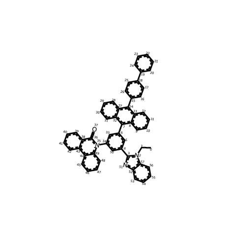 CCn1c(-c2cc(-c3c4ccccc4c(-c4ccc(-c5ccccc5)cc4)c4ccccc34)cc(-n3c(=O)c4ccccc4c4ccccc43)c2)nc2ccccc21